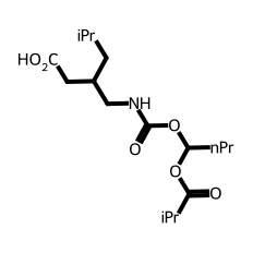 CCCC(OC(=O)NCC(CC(=O)O)CC(C)C)OC(=O)C(C)C